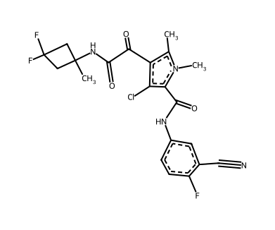 Cc1c(C(=O)C(=O)NC2(C)CC(F)(F)C2)c(Cl)c(C(=O)Nc2ccc(F)c(C#N)c2)n1C